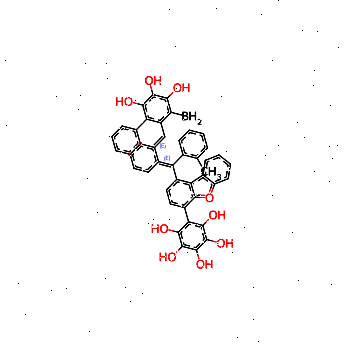 Bc1c(O)c(O)c(O)c(-c2ccccc2)c1/C=c1\cccc\c1=C(\c1ccccc1C)c1ccc(-c2c(O)c(O)c(O)c(O)c2O)c2oc3ccccc3c12